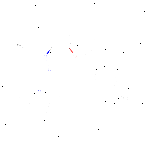 Cc1ccc(C)n1-c1cc(C(C)(C)C)n([C@H]2CCC[C@H]2OC(=O)c2ccc([N+](=O)[O-])cc2)n1